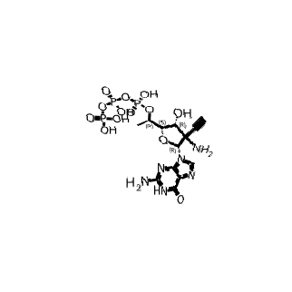 C#CC1(N)[C@@H](O)[C@@H]([C@@H](C)OP(=O)(O)OP(=O)(O)OP(=O)(O)O)O[C@H]1n1cnc2c(=O)[nH]c(N)nc21